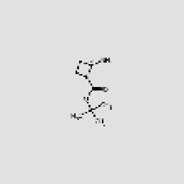 CC(C)(C)OC(=O)N1CC[C@H]1N